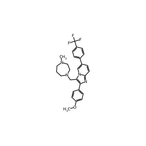 COc1ccc(-c2nc3ccc(-c4ccc(C(F)(F)F)cc4)cn3c2CN2CCCN(C)CC2)cc1